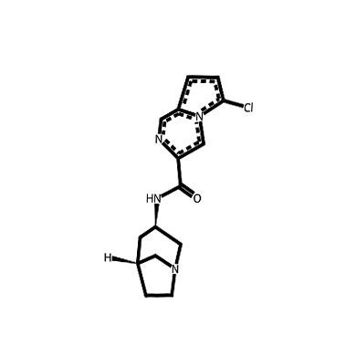 O=C(N[C@@H]1C[C@H]2CCN(C2)C1)c1cn2c(Cl)ccc2cn1